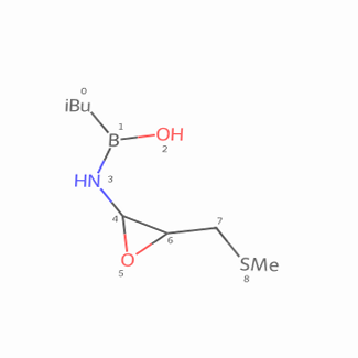 CCC(C)B(O)NC1OC1CSC